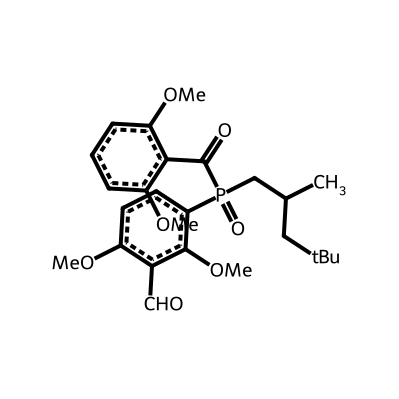 COc1ccc(P(=O)(CC(C)CC(C)(C)C)C(=O)c2c(OC)cccc2OC)c(OC)c1C=O